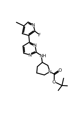 Cc1cnc(F)c(-c2ccnc(NC3CCCN(C(=O)OC(C)(C)C)C3)n2)c1